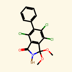 COC1(OC)c2c(Cl)c(Cl)c(-c3ccccc3)c(Cl)c2C(=O)N1S